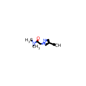 C#Cc1cnn(CC(=O)N(C)C)c1